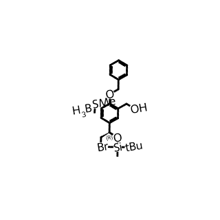 B.CC(C)(C)[Si](C)(C)O[C@@H](CBr)c1ccc(OCc2ccccc2)c(CO)c1.CSC